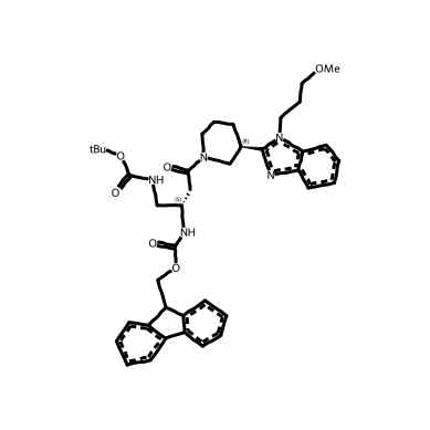 COCCCn1c([C@@H]2CCCN(C(=O)C[C@@H](CNC(=O)OC(C)(C)C)NC(=O)OCC3c4ccccc4-c4ccccc43)C2)nc2ccccc21